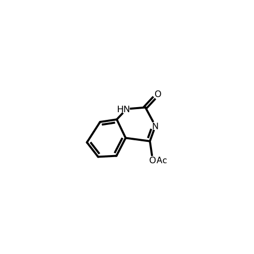 CC(=O)Oc1nc(=O)[nH]c2ccccc12